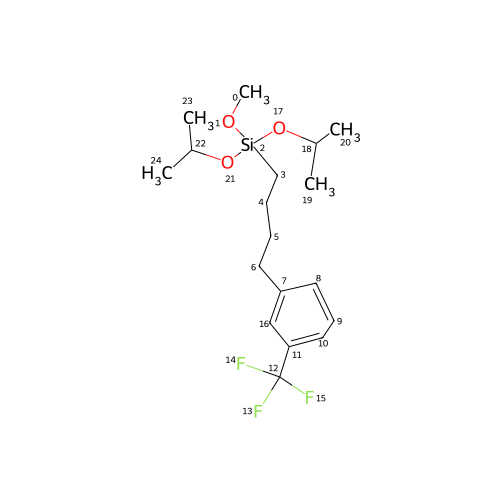 CO[Si](CCCCc1cccc(C(F)(F)F)c1)(OC(C)C)OC(C)C